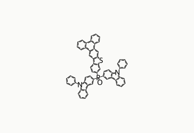 O=P(c1ccc2c(c1)sc1cc3c4ccccc4c4ccccc4c3cc12)(c1ccc2c(c1)c1ccccc1n2-c1ccccc1)c1ccc2c(c1)c1ccccc1n2-c1ccccc1